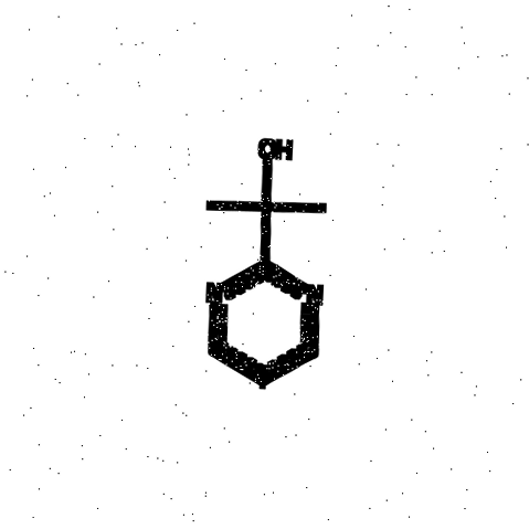 CC(C)(O)c1nc[c]cn1